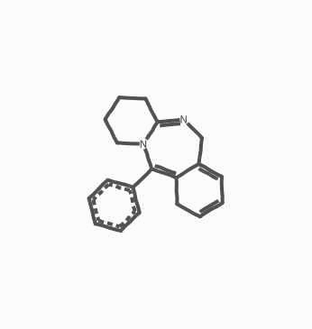 C1=CCC2=C(c3ccccc3)N3CCCCC3=NCC2=C1